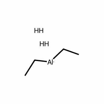 C[CH2][Al][CH2]C.[HH].[HH]